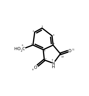 O=C(O)c1cccc2c1C(=O)NC2=O